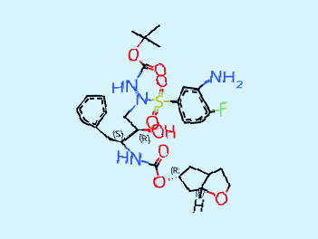 CC(C)(C)OC(=O)NN(C[C@@H](O)[C@H](Cc1ccccc1)NC(=O)O[C@@H]1CC2CCO[C@@H]2C1)S(=O)(=O)c1ccc(F)c(N)c1